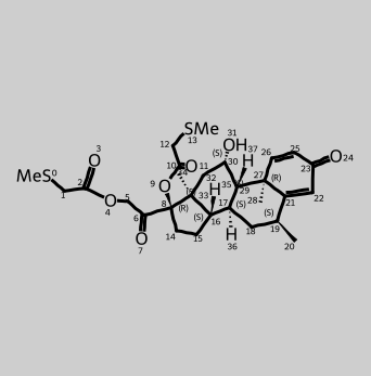 CSCC(=O)OCC(=O)[C@@]1(OC(=O)CSC)CC[C@H]2[C@@H]3C[C@H](C)C4=CC(=O)C=C[C@]4(C)[C@H]3[C@@H](O)C[C@@]21C